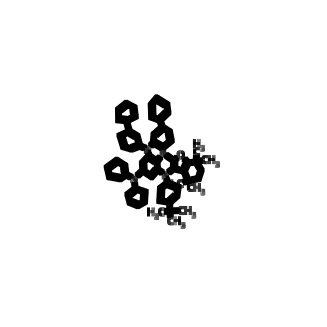 CC(C)(C)c1ccc(N2c3cc(N(c4ccccc4)c4ccccc4)cc4c3B(c3ccc(-c5ccccc5)cc3N4c3cccc(-c4ccccc4)c3)c3oc4c(c32)C(C)(C)CCC4(C)C)cc1